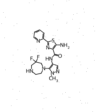 Cn1ncc(NC(=O)c2nc(-c3ccccn3)sc2N)c1N1CCNCC(F)(F)C1